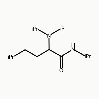 CC(C)CCC(C(=O)NC(C)C)N(C(C)C)C(C)C